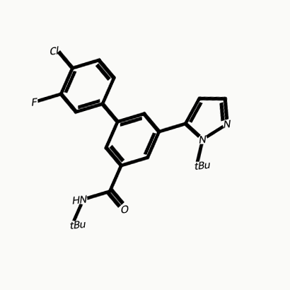 CC(C)(C)NC(=O)c1cc(-c2ccc(Cl)c(F)c2)cc(-c2ccnn2C(C)(C)C)c1